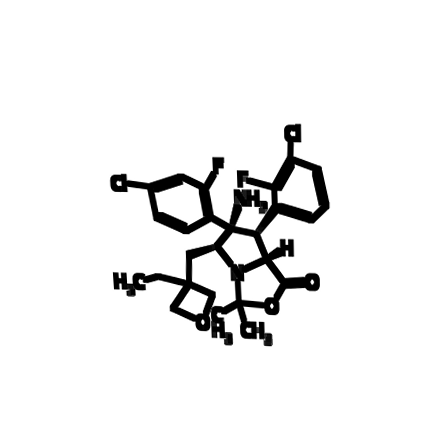 CCC1(C[C@@H]2N3[C@@H](C(=O)OC3(C)C)[C@H](c3cccc(Cl)c3F)[C@@]2(N)c2ccc(Cl)cc2F)COC1